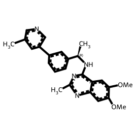 COc1cc2nc(C)nc(N[C@H](C)c3cccc(-c4cncc(C)c4)c3)c2cc1OC